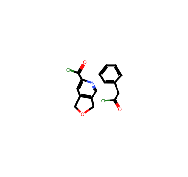 O=C(Cl)Cc1ccccc1.O=C(Cl)c1cc2c(cn1)COC2